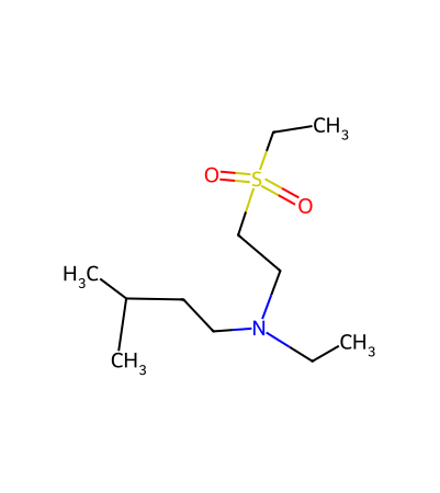 CCN(CCC(C)C)CCS(=O)(=O)CC